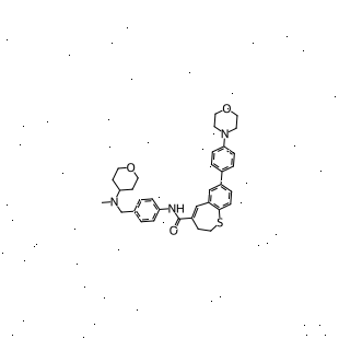 CN(Cc1ccc(NC(=O)C2=Cc3cc(-c4ccc(N5CCOCC5)cc4)ccc3SCC2)cc1)C1CCOCC1